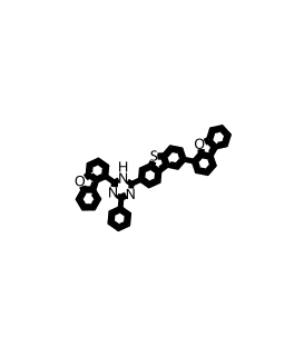 c1ccc(C2=NC(c3ccc4c(c3)sc3ccc(-c5cccc6c5oc5ccccc56)cc34)NC(c3cccc4oc5ccccc5c34)=N2)cc1